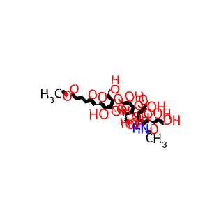 CCOC(=O)CCCC(=O)C[C@@H]1O[C@H](CO)[C@@H](O[C@@H]2O[C@H](CO)[C@H](O)[C@H](O[C@]3(C(=O)O)C[C@H](O)[C@@H](NC(C)=O)[C@H](C[C@H](O)CO)O3)[C@H]2O)[C@H](O)[C@H]1O